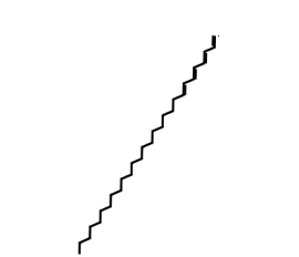 [CH]=CC=CC=CC=CCCCCCCCCCCCCCCCCCCCC